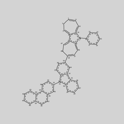 C1=CCC=c2c3c(n(-c4ccccc4)c2=C1)=CC=C(c1ccc2c(c1)c1ccccc1n2-c1ccc2c(ccc4ccccc42)c1)CC=3